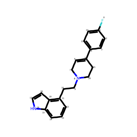 Fc1ccc(C2=CCN(CCc3cccc4[nH]ccc34)CC2)cc1